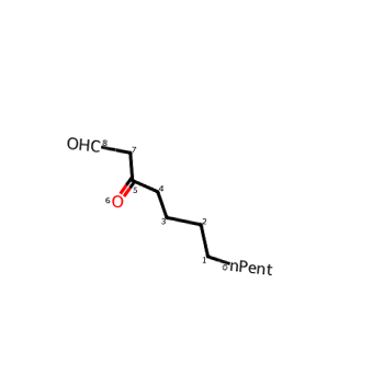 CCCCCCCCCC(=O)CC=O